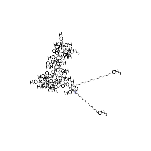 CCCCCCCCCCCCC/C=C/[C@@H](O)[C@H](CO[C@@H]1OC(CO)[C@@H](O[C@@H]2OC(CO)[C@H](O[C@@H]3OC(CO)[C@H](O)[C@H](O[C@@H]4OC(CO)[C@H](O)[C@H](O[C@]5(C(=O)O)CC(O)[C@@H](NC(C)=O)C([C@H](O)[C@H](O)CO)O5)C4O)C3NC(C)=O)[C@H](O[C@]3(C(=O)O)CC(O)[C@@H](NC(C)=O)C([C@H](O)[C@H](O)CO)O3)C2O)[C@H](O)C1O)NC(=O)CCCCCCCCCCCCCCCCC